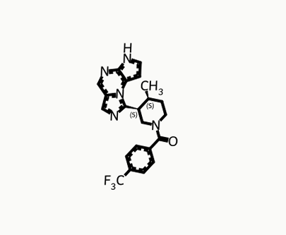 C[C@H]1CCN(C(=O)c2ccc(C(F)(F)F)cc2)C[C@H]1c1ncc2cnc3[nH]ccc3n12